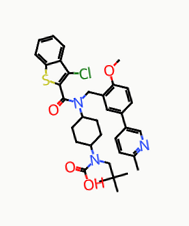 COc1ccc(-c2ccc(C)nc2)cc1CN(C(=O)c1sc2ccccc2c1Cl)C1CCC(N(CC(C)(C)C)C(=O)O)CC1